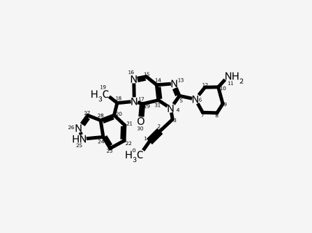 CC#CCn1c(N2CCCC(N)C2)nc2cnn(C(C)c3cccc4[nH]ncc34)c(=O)c21